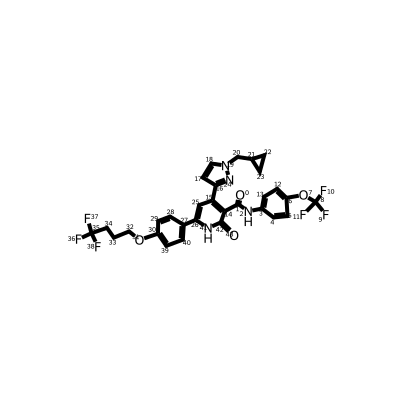 O=C(Nc1ccc(OC(F)(F)F)cc1)c1c(-c2ccn(CC3CC3)n2)cc(-c2ccc(OCCCC(F)(F)F)cc2)[nH]c1=O